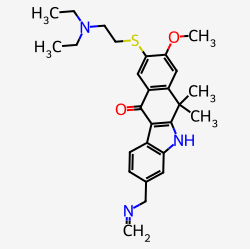 C=NCc1ccc2c3c([nH]c2c1)C(C)(C)c1cc(OC)c(SCCN(CC)CC)cc1C3=O